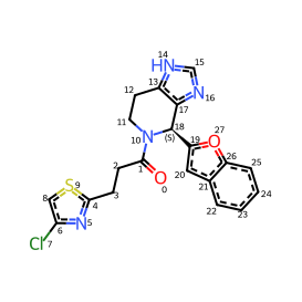 O=C(CCc1nc(Cl)cs1)N1CCc2[nH]cnc2[C@H]1c1cc2ccccc2o1